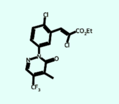 CCOC(=O)C(Cl)=Cc1cc(-n2ncc(C(F)(F)F)c(C)c2=O)ccc1Cl